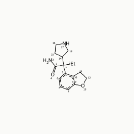 CCC(C(N)=O)(c1cccc2c1CCO2)C1CCNC1